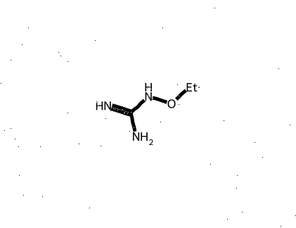 C[CH]ONC(=N)N